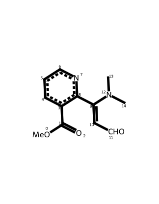 COC(=O)c1cccnc1C(=CC=O)N(C)C